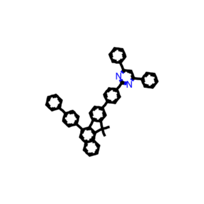 CC1(C)c2cc(-c3ccc(-c4nc(-c5ccccc5)cc(-c5ccccc5)n4)cc3)ccc2-c2c(-c3ccc(-c4ccccc4)cc3)cc3ccccc3c21